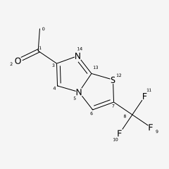 CC(=O)c1cn2cc(C(F)(F)F)sc2n1